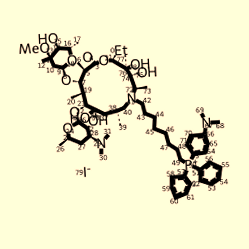 CC[C@H]1OC(=O)[C@H](C)[C@@H](O[C@H]2C[C@@](C)(OC)[C@@H](O)[C@H](C)O2)[C@H](C)[C@@H](O[C@@H]2O[C@H](C)C[C@H](N(C)C)[C@H]2O)[C@](C)(O)C[C@@H](C)CN(CCCCCCCC[P+](c2ccccc2)(c2ccccc2)c2ccc(N(C)C)cc2)[C@H](C)[C@@H](O)[C@]1(C)O.[I-]